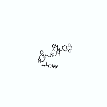 COc1ccc2ncc(=O)n(CCN3CCC(NCc4ccc5c(c4)OCCO5)C(O)C3)c2c1